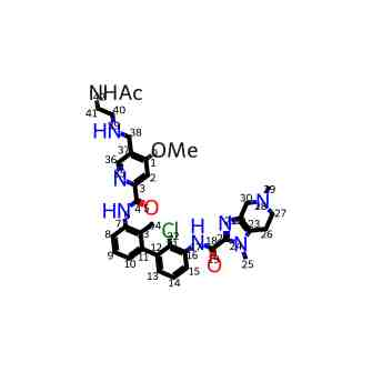 COc1cc(C(=O)Nc2cccc(-c3cccc(NC(=O)c4nc5c(n4C)CCN(C)C5)c3Cl)c2C)ncc1CNCCNC(C)=O